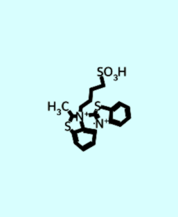 CC1Sc2ccccc2[N+]1(CCCCS(=O)(=O)O)C1=[N+]c2ccccc2S1